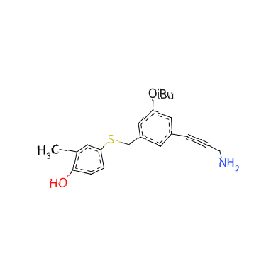 Cc1cc(SCc2cc(C#CCN)cc(OCC(C)C)c2)ccc1O